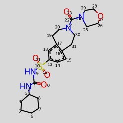 O=C(NC1CCCCC1)NS(=O)(=O)c1ccc2c(c1)CCN(C(=O)N1CCOCC1)CC2